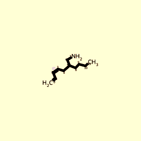 C=C/C=C\CC(CN)CCCC